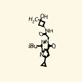 CCC(C)c1nn(CC(=O)N[C@H]2C[C@@](C)(O)C2)c(=O)c2cc(C3CC3)nn12